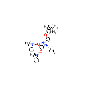 CCCCn1c(-c2cccc(Oc3ccc(C(C)(C)C)cc3)c2)nc2c(OCCN(C)C3CCCCC3)cc(OCCN(C)C3CCCCC3)cc21